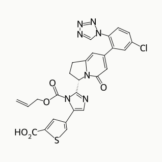 C=CCOC(=O)n1c(-c2csc(C(=O)O)c2)cnc1[C@@H]1CCc2cc(-c3cc(Cl)ccc3-n3cnnn3)cc(=O)n21